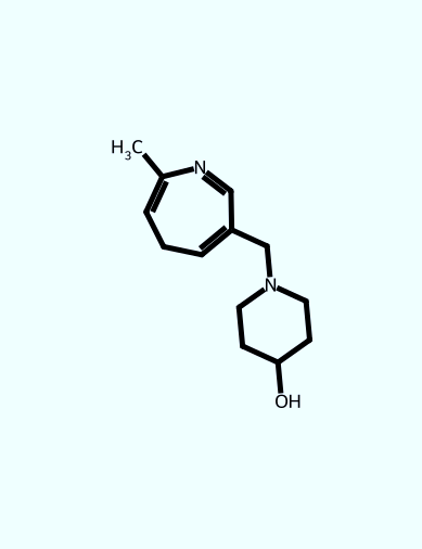 CC1=CCC=C(CN2CCC(O)CC2)C=N1